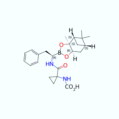 CC1(C)[C@@H]2C[C@H]3OB([C@H](Cc4ccccc4)NC(=O)C4(NC(=O)O)CC4)O[C@@]3(C)[C@H]1C2